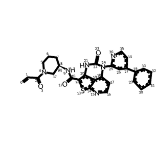 C=CC(=O)N1CCC[C@@H](NC(=O)c2sc3nccc4c3c2NC(=O)N4c2cc(-c3ccccc3)ccn2)C1